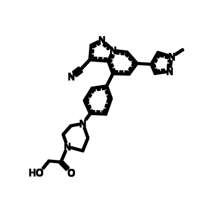 Cn1cc(-c2cc(-c3ccc(N4CCN(C(=O)CO)CC4)cc3)c3c(C#N)cnn3c2)cn1